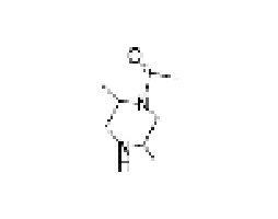 CC(=O)N1CC(C)NCC1C